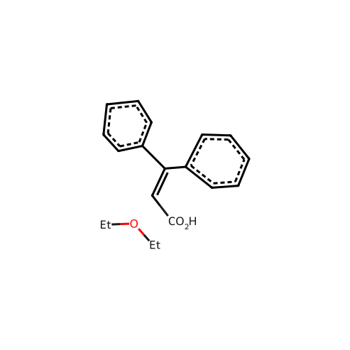 CCOCC.O=C(O)C=C(c1ccccc1)c1ccccc1